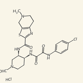 CN1CCc2nc(C(=O)N[C@@H]3CN(C=O)CC[C@@H]3NC(=O)C(=O)Nc3ccc(Cl)cc3)sc2C1.Cl